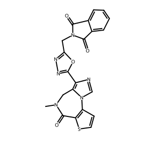 CN1Cc2c(-c3nnc(CN4C(=O)c5ccccc5C4=O)o3)ncn2-c2ccsc2C1=O